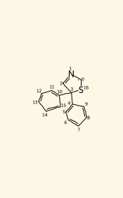 [CH]1N=CC(c2ccccc2)(c2ccccc2)S1